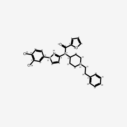 O=C(c1ccco1)N(c1ccn(-c2ccc(Cl)c(Cl)c2)n1)C1CCN(CCc2ccccc2)CC1